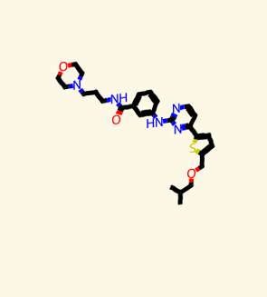 CC(C)COCc1ccc(-c2ccnc(Nc3cccc(C(=O)NCCCN4CCOCC4)c3)n2)s1